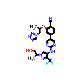 CC(Cn1cnnn1)Oc1cc(-c2cnc(Nc3cn(C(C)CO)nc3C(F)(F)F)nc2)ccc1C#N